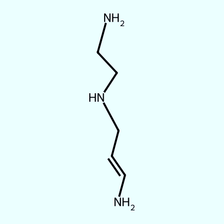 NC=CCNCCN